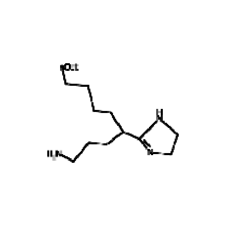 CCCCCCCCCCCCC(CCCN)C1=NCCN1